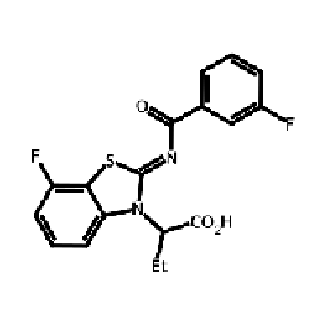 CCC(C(=O)O)n1c(=NC(=O)c2cccc(F)c2)sc2c(F)cccc21